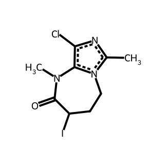 Cc1nc(Cl)c2n1CCC(I)C(=O)N2C